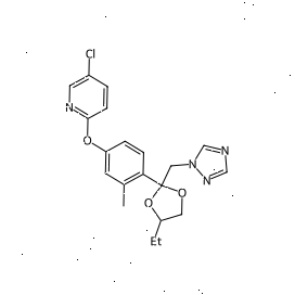 CCC1COC(Cn2cncn2)(c2ccc(Oc3ccc(Cl)cn3)cc2C)O1